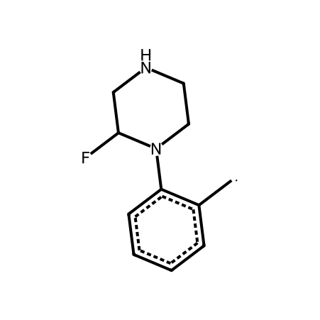 [CH2]c1ccccc1N1CCNCC1F